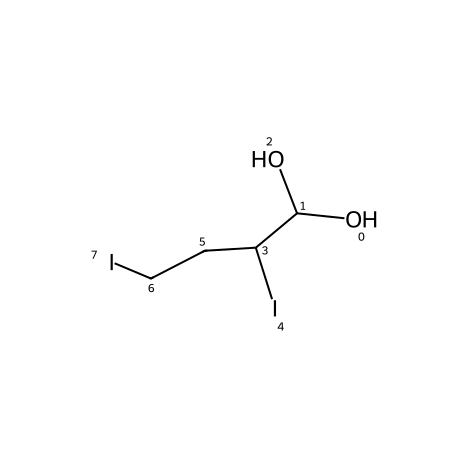 OC(O)C(I)CCI